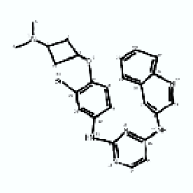 CN(C)C1CC(Oc2ccc(Nc3nccc(Nc4cnc5ccccc5c4)n3)cc2Br)C1